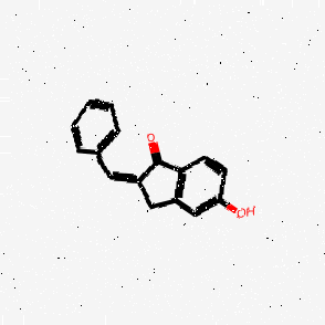 O=C1C(=Cc2ccccc2)Cc2cc(O)ccc21